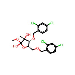 COC1(O)O[C@H](COCc2ccc(Cl)cc2Cl)[C@@H](OCc2ccc(Cl)cc2Cl)[C@@]1(C)O